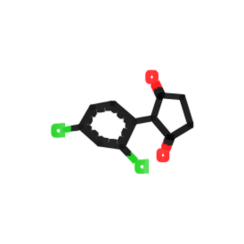 O=C1CCC(=O)C1c1ccc(Cl)cc1Cl